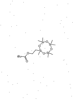 CCC(C)C(=O)OCC[Si]1(C)O[Si](C)(C)O[Si](C)(C)O[Si](C)(C)O1